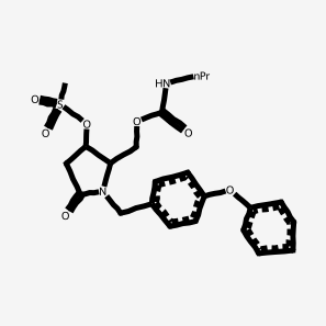 CCCNC(=O)OCC1C(OS(C)(=O)=O)CC(=O)N1Cc1ccc(Oc2ccccc2)cc1